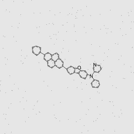 c1ccc(-c2cc3ccc4cc(-c5ccc6c(c5)oc5cc(N(c7ccccc7)c7cccnc7)ccc56)cc5ccc(c2)c3c45)cc1